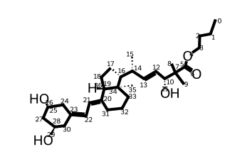 CCCCOC(=O)C(C)(C)[C@H](O)/C=C/[C@@H](C)[C@H]1CC[C@H]2/C(=C/C=C3C[C@@H](O)C[C@H](O)C3)CCC[C@]12C